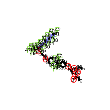 C=CC(=O)OCC(COc1ccc(C(c2ccc(OCCCOC(F)(/C(F)=C(F)/C(F)=C(F)/C(F)=C(F)/C(F)=C(\F)CF)C(F)(F)C(F)(F)F)cc2)(C(F)(F)F)C(F)(F)F)cc1)OC(=O)C=C